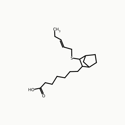 CCC=CCSC1C2CCC(C2)C1CCCCCCC(=O)O